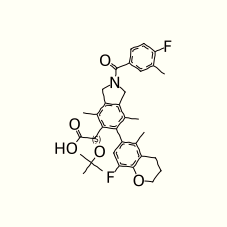 Cc1cc(C(=O)N2Cc3c(C)c(-c4cc(F)c5c(c4C)CCCO5)c([C@H](OC(C)(C)C)C(=O)O)c(C)c3C2)ccc1F